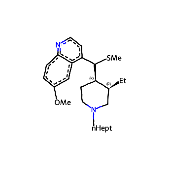 CCCCCCCN1CC[C@@H](C(SC)c2ccnc3ccc(OC)cc23)[C@@H](CC)C1